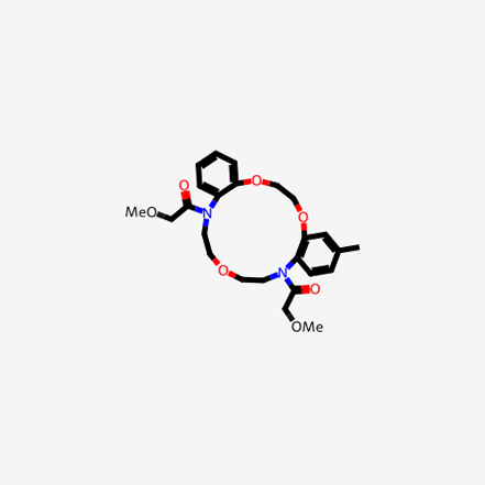 COCC(=O)N1CCOCCN(C(=O)COC)c2ccc(C)cc2OCCOc2ccccc21